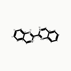 [c]1ccc2nc(-c3ncc4ccccc4n3)ncc2c1